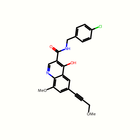 COCC#Cc1cc(OC)c2ncc(C(=O)NCc3ccc(Cl)cc3)c(O)c2c1